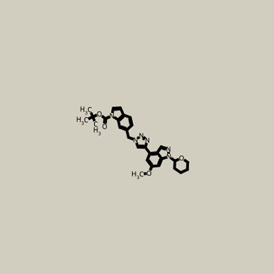 COc1cc(-c2cn(Cc3ccc4ccn(C(=O)OC(C)(C)C)c4c3)nn2)c2cnn(C3CCCCO3)c2c1